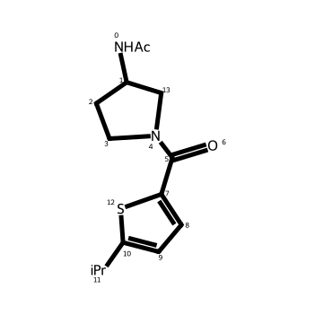 CC(=O)NC1CCN(C(=O)c2ccc(C(C)C)s2)C1